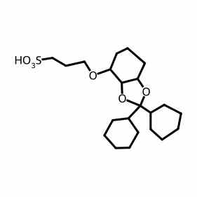 O=S(=O)(O)CCCOC1CCCC2OC(C3CCCCC3)(C3CCCCC3)OC12